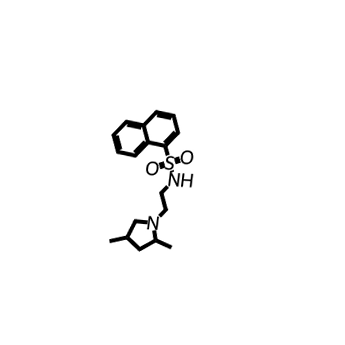 CC1CC(C)N(CCNS(=O)(=O)c2cccc3ccccc23)C1